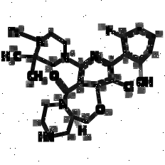 CCN1CCN(c2nc(-c3c(O)cccc3F)c(Cl)c3c2C(=O)N2CCNC[C@@H]2CO3)CC1(C)C